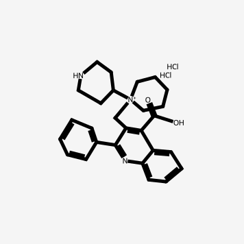 Cl.Cl.O=C(O)c1c(C[N+]2(C3CCNCC3)CCCCC2)c(-c2ccccc2)nc2ccccc12